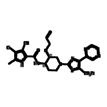 C=CCO[C@H]1CN(c2nc(-c3cnccn3)c(C(=O)OCC)s2)CC[C@H]1NC(=O)c1[nH]c(C)c(Cl)c1C#N